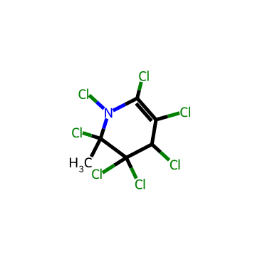 CC1(Cl)N(Cl)C(Cl)=C(Cl)C(Cl)C1(Cl)Cl